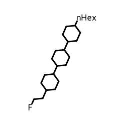 CCCCCCC1CCC(C2CCC(C3CCC(CCF)CC3)CC2)CC1